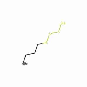 CCCCCCCSSSS